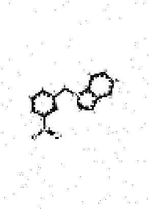 O=[N+]([O-])c1cccc(Cn2ccc3ccccc32)c1